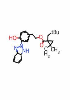 CC(C)(C)CC1(C(=O)OCCc2ccc(O)c(N3N=C4C=CC=CC4N3)c2)CC1(C)C